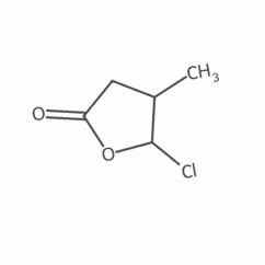 CC1CC(=O)OC1Cl